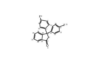 O=C1CC(c2ccc(F)cc2)(c2ccc(F)cc2)c2ccccc21